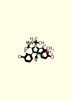 CC(C)(C)C[C@@H]1N(C(C)(C)C)[C@@H](C(=O)O)[C@H](c2cccc(Cl)c2F)[C@@]1(C#N)c1ccc(Cl)cc1F